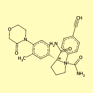 C#Cc1ccc([N+]2(C(N)=O)CCC[C@]2(C(N)=O)c2ccc(N3CCOCC3=O)c(C)c2)cc1